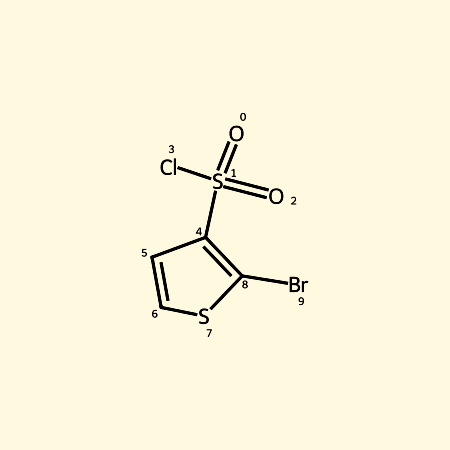 O=S(=O)(Cl)c1ccsc1Br